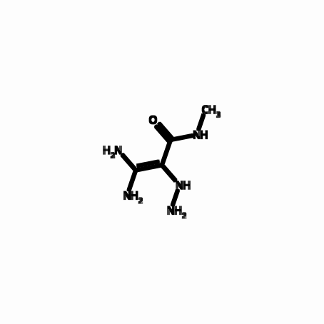 CNC(=O)C(NN)=C(N)N